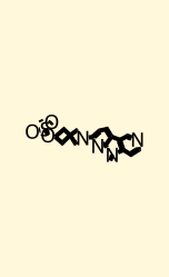 Cn1c2ccncc2c2ccc(N3CC4(CC(OS(C)(=O)=O)C4)C3)nc21